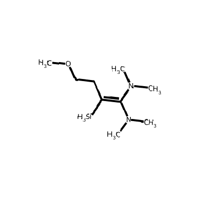 COCCC([SiH3])=C(N(C)C)N(C)C